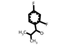 CC(C)C([O])c1ccc(F)cc1F